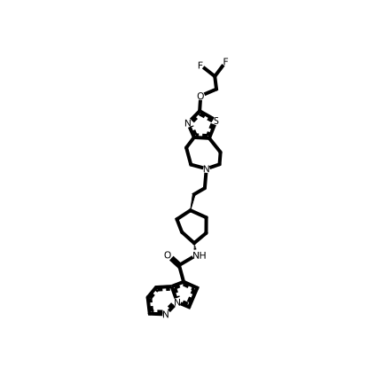 O=C(N[C@H]1CC[C@H](CCN2CCc3nc(OCC(F)F)sc3CC2)CC1)c1ccn2ncccc12